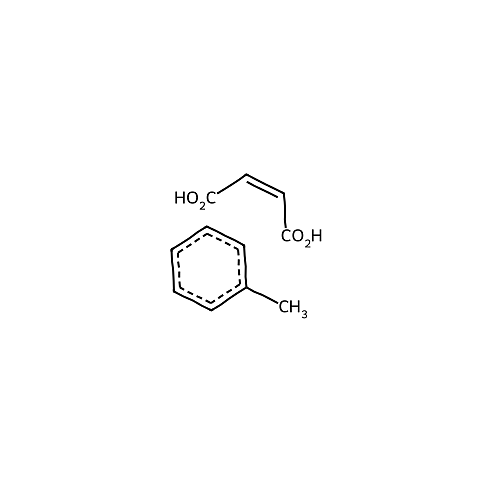 Cc1ccccc1.O=C(O)/C=C\C(=O)O